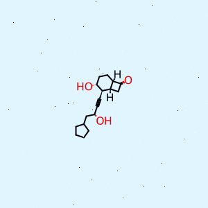 O=C1C[C@@H]2[C@@H](C#C[C@@H](O)CC3CCCC3)[C@H](O)CC[C@H]12